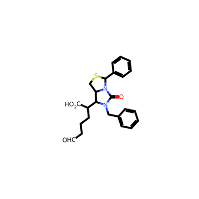 O=CCCCC(C(=O)O)C1C2CSC(c3ccccc3)N2C(=O)N1Cc1ccccc1